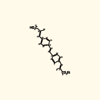 CCOC(=O)C(C)=Cc1ccc(C=Cc2ccc(C=C(C)C(=O)O)cc2)cc1